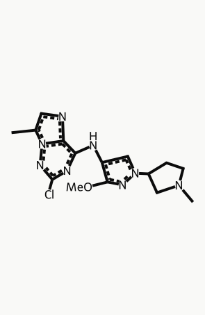 COc1nn(C2CCN(C)C2)cc1Nc1nc(Cl)nn2c(C)cnc12